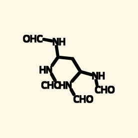 O=CNC(CC(NC=O)NC=O)NC=O